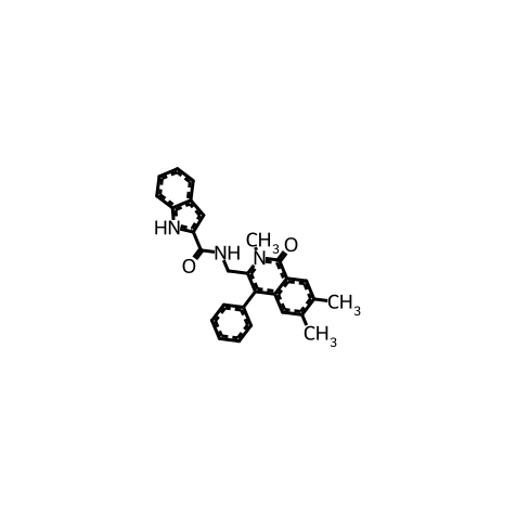 Cc1cc2c(-c3ccccc3)c(CNC(=O)c3cc4ccccc4[nH]3)n(C)c(=O)c2cc1C